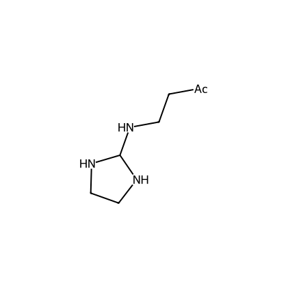 CC(=O)CCNC1NCCN1